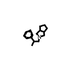 CC(CN1CC2CCCC2C1)c1ccccc1